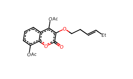 CCC=CCCOc1c(OC(C)=O)c2cccc(OC(C)=O)c2oc1=O